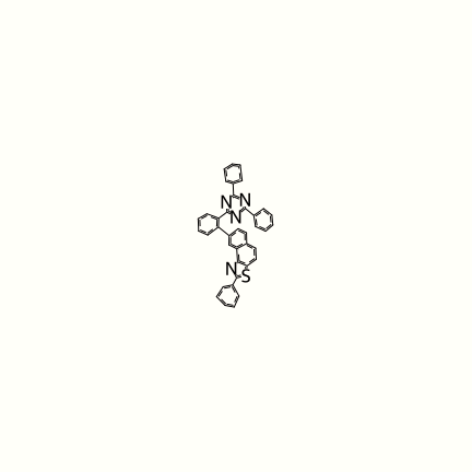 c1ccc(-c2nc(-c3ccccc3)nc(-c3ccccc3-c3ccc4ccc5sc(-c6ccccc6)nc5c4c3)n2)cc1